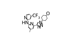 Cc1cc(Nc2cc(C(F)(F)F)ccn2)nc(-c2cn(C3CCC(=O)CC3)nn2)c1